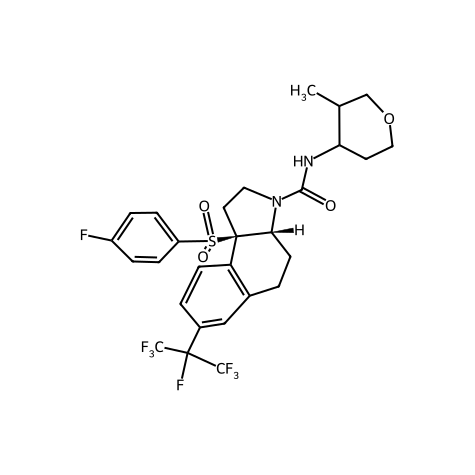 CC1COCCC1NC(=O)N1CC[C@@]2(S(=O)(=O)c3ccc(F)cc3)c3ccc(C(F)(C(F)(F)F)C(F)(F)F)cc3CC[C@@H]12